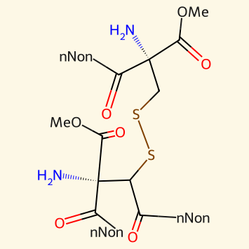 CCCCCCCCCC(=O)C(SSC[C@@](N)(C(=O)CCCCCCCCC)C(=O)OC)[C@@](N)(C(=O)CCCCCCCCC)C(=O)OC